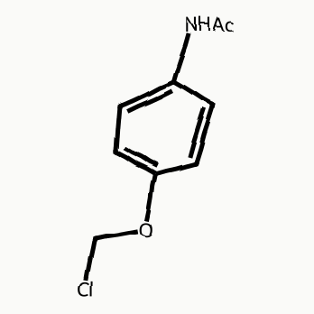 CC(=O)Nc1ccc(OCCl)cc1